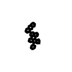 c1ccc(-c2c3ccccc3c(-c3ccccc3)c3c(-c4cccc(-c5cccc6cc7ccccc7cc56)c4)cccc23)cc1